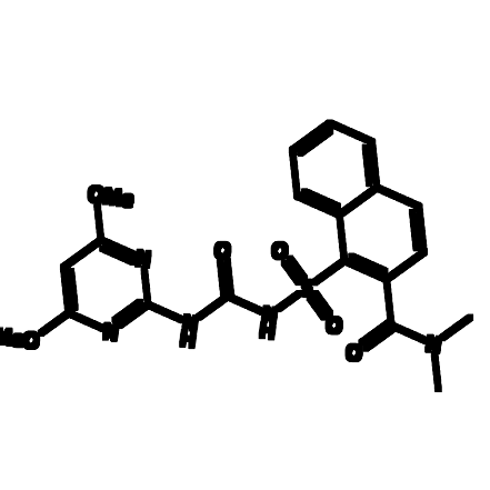 COc1cc(OC)nc(NC(=O)NS(=O)(=O)c2c(C(=O)N(C)C)ccc3ccccc23)n1